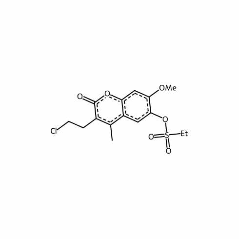 CCS(=O)(=O)Oc1cc2c(C)c(CCCl)c(=O)oc2cc1OC